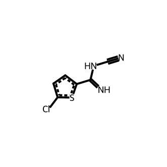 N#CNC(=N)c1ccc(Cl)s1